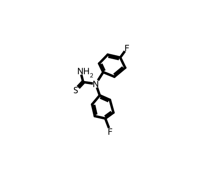 NC(=S)N(c1ccc(F)cc1)c1ccc(F)cc1